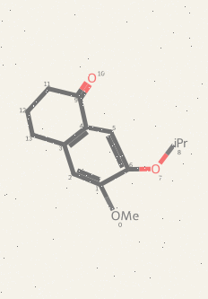 COc1cc2c(cc1OC(C)C)C(=O)CCC2